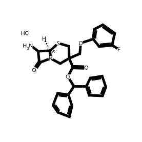 Cl.NC1C(=O)N2CC(COc3cccc(F)c3)(C(=O)OC(c3ccccc3)c3ccccc3)CS[C@H]12